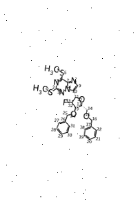 CSc1nc(SC)c2ncc([C@@H]3O[C@H](COCc4ccccc4)[C@@H](OCc4ccccc4)[C@H]3F)n2n1